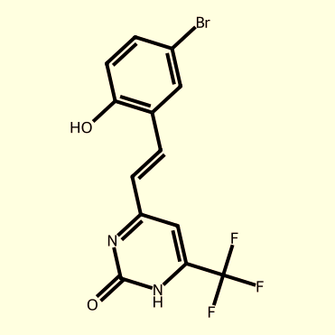 O=c1nc(C=Cc2cc(Br)ccc2O)cc(C(F)(F)F)[nH]1